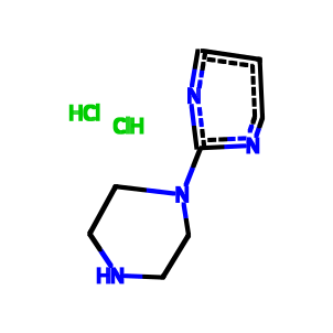 Cl.Cl.c1cnc(N2CCNCC2)nc1